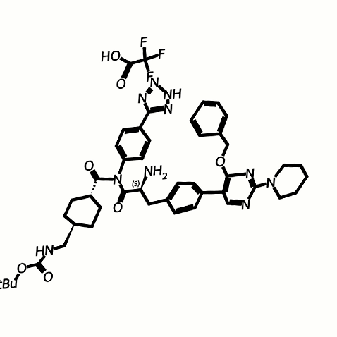 CC(C)(C)OC(=O)NC[C@H]1CC[C@H](C(=O)N(C(=O)[C@@H](N)Cc2ccc(-c3cnc(N4CCCCC4)nc3OCc3ccccc3)cc2)c2ccc(-c3nn[nH]n3)cc2)CC1.O=C(O)C(F)(F)F